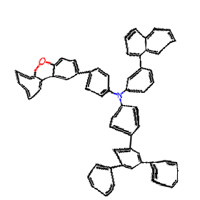 c1ccc(-c2cc(-c3ccccc3)cc(-c3ccc(N(c4ccc(-c5ccc6oc7ccccc7c6c5)cc4)c4cccc(-c5cccc6ccccc56)c4)cc3)c2)cc1